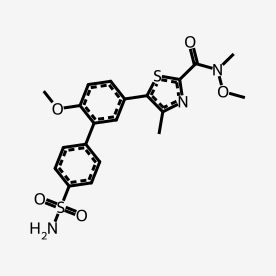 COc1ccc(-c2sc(C(=O)N(C)OC)nc2C)cc1-c1ccc(S(N)(=O)=O)cc1